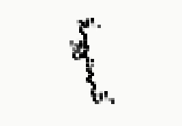 CCCCCCOC(=O)CNCCN